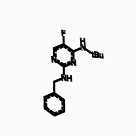 CC(C)(C)Nc1nc(NCc2ccccc2)ncc1F